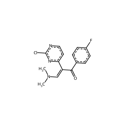 CN(C)/C=C(/C(=O)c1ccc(F)cc1)c1ccnc(Cl)n1